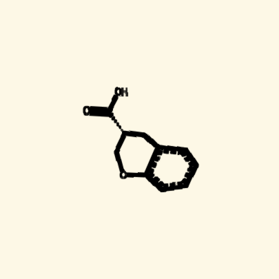 O=C(O)[C@H]1COc2ccccc2C1